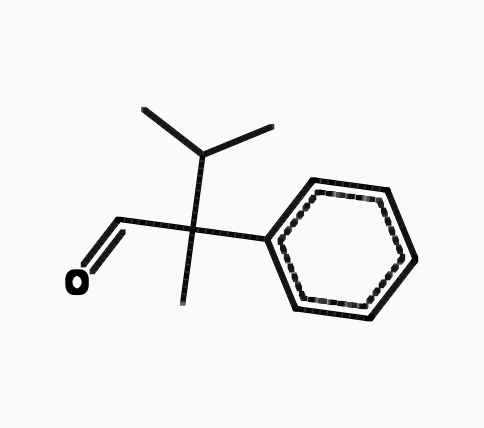 CC(C)C(C)(C=O)c1ccccc1